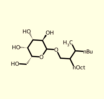 CCCCCCCCC(COC1O[C@H](CO)[C@H](O)[C@H](O)[C@H]1O)C(C)CCCC